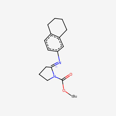 CC(C)(C)OC(=O)N1CCC/C1=N\c1ccc2c(c1)CCCC2